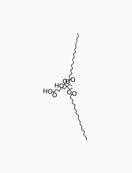 CCCCCCCCCCCCCCCCCC(=O)OC(C)C(CCCCC(=O)O)(C(=O)O)C(C)OC(=O)CCCCCCCCCCCCCCCCC